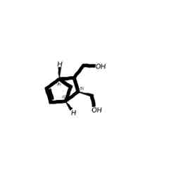 OCC1[C@@H](CO)[C@@H]2C=C[C@H]1C2